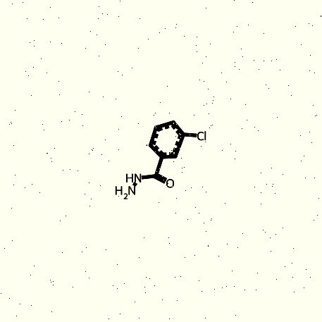 NNC(=O)c1[c]ccc(Cl)c1